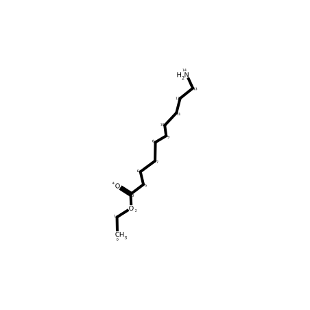 CCOC(=O)CCCCCCCCCN